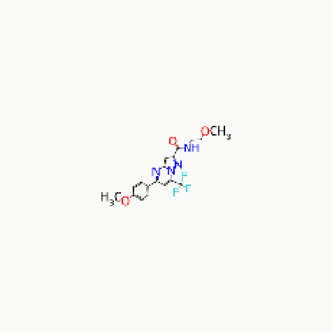 COCCNC(=O)c1cc2nc(-c3ccc(OC)cc3)cc(C(F)(F)F)n2n1